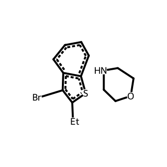 C1COCCN1.CCc1sc2ccccc2c1Br